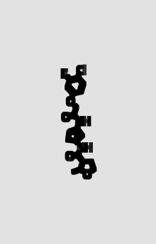 CC1OCCC1C(=O)NC12CC(C1)C(NC(=O)COc1ccc(Cl)c(F)c1)C2